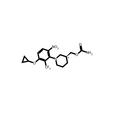 NC(=O)OC[C@H]1CCCN(c2c([N+](=O)[O-])ccc(OC3CC3)c2C(F)(F)F)C1